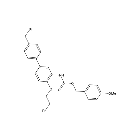 COc1ccc(COC(=O)Nc2cc(-c3ccc(CBr)cc3)ccc2OCCC(C)C)cc1